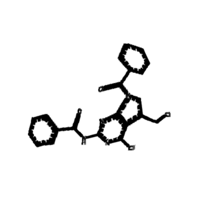 O=C(Nc1nc(Cl)c2c(CCl)cn(C(=O)c3ccccc3)c2n1)c1ccccc1